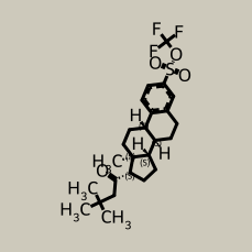 CC(C)(C)CC(=O)[C@H]1CC[C@H]2[C@@H]3CCc4cc(S(=O)(=O)OC(F)(F)F)ccc4[C@H]3CC[C@]12C